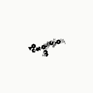 CC1(C)CCC(CNc2ncc(S(=O)(=O)NC(=O)c3ccc(N4CC5(CC(N6CCC[C@@H]6c6ccccc6C6CC6)C5)C4)cc3Oc3cnc4[nH]ccc4c3)cc2[N+](=O)[O-])CC1